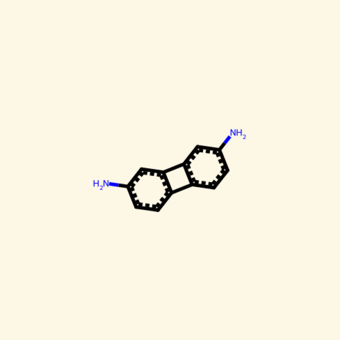 Nc1ccc2c(c1)-c1cc(N)ccc1-2